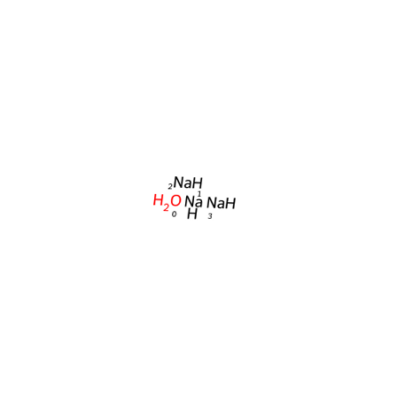 O.[NaH].[NaH].[NaH]